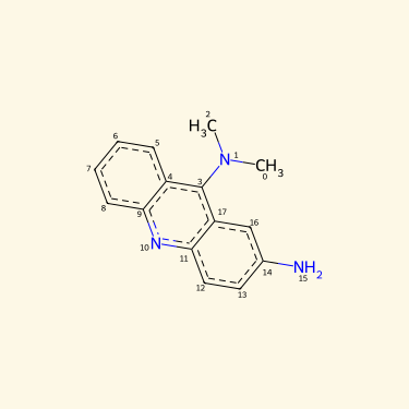 CN(C)c1c2ccccc2nc2ccc(N)cc12